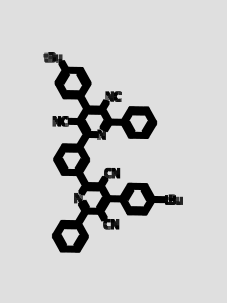 [C-]#[N+]c1c(-c2ccccc2)nc(-c2cccc(-c3nc(-c4ccccc4)c(C#N)c(-c4ccc(C(C)(C)C)cc4)c3C#N)c2)c(C#N)c1-c1ccc(C(C)(C)C)cc1